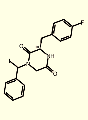 O=C1CN(C(I)c2ccccc2)C(=O)[C@@H](Cc2ccc(F)cc2)N1